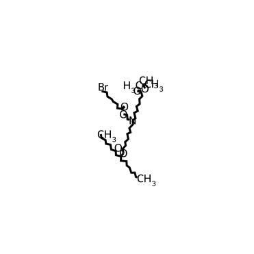 CCCCCCCCC(CCCCCCCC)OC(=O)CCCCCCCN(CCCCCCCC(=O)OC(C)(C)C)CCOC(=O)CCCCCCCBr